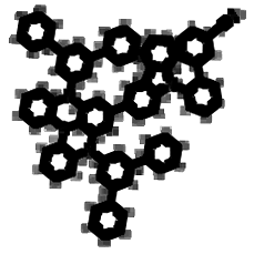 N#Cc1cccc(-c2ccccc2-n2c3ccccc3c3cc(-c4cc5c6c(c4)N(c4cc(-c7ccccc7)cc(-c7ccccc7)c4)c4ccccc4B6c4ccccc4N5c4cc(-c5ccccc5)cc(-c5ccccc5)c4)ccc32)c1